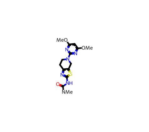 CNC(=O)Nc1nc2c(s1)CN(c1nc(OC)cc(OC)n1)CC2